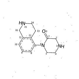 O=C1CNCCN1c1cccc2c1CCNC2